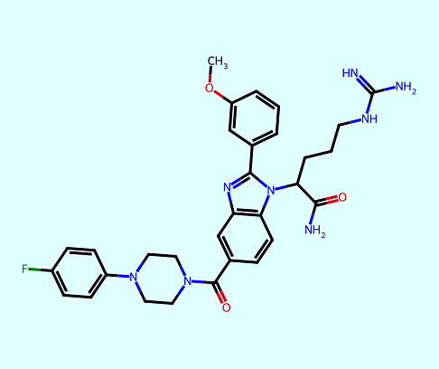 COc1cccc(-c2nc3cc(C(=O)N4CCN(c5ccc(F)cc5)CC4)ccc3n2C(CCCNC(=N)N)C(N)=O)c1